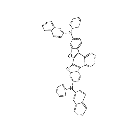 C1=CCC(N(c2ccc3ccccc3c2)c2ccc3c(c2)oc2c4c(c5ccccc5c23)C2C=CC(N(c3ccccc3)c3ccc5ccccc5c3)=CC2O4)C=C1